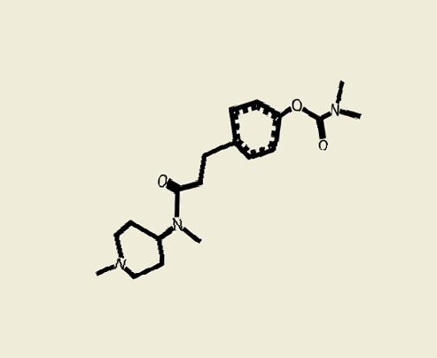 CN1CCC(N(C)C(=O)CCc2ccc(OC(=O)N(C)C)cc2)CC1